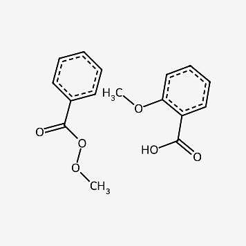 COOC(=O)c1ccccc1.COc1ccccc1C(=O)O